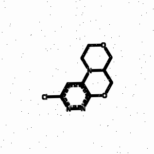 Clc1cc2c(nn1)OCC1COCCN21